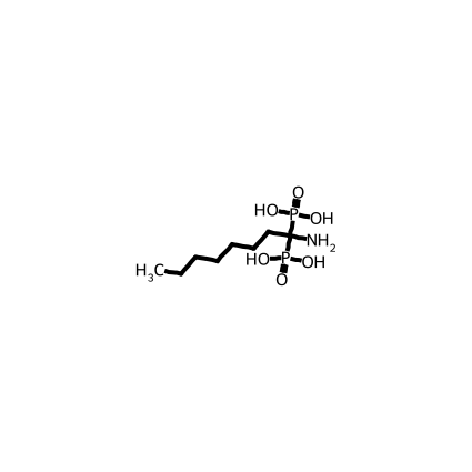 CCCCCCCC(N)(P(=O)(O)O)P(=O)(O)O